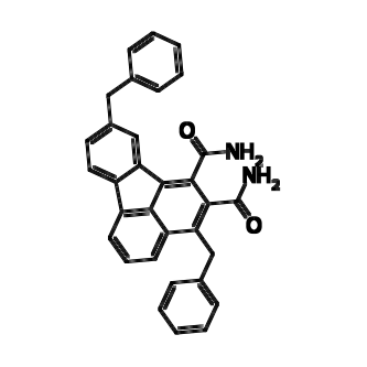 NC(=O)c1c(C(N)=O)c2c3c(cccc3c1Cc1ccccc1)-c1ccc(Cc3ccccc3)cc1-2